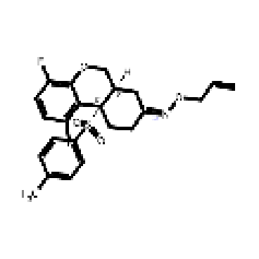 C=CCO/N=C1/CC[C@@]2(S(=O)(=O)c3ccc(C(F)(F)F)cc3)c3c(F)ccc(F)c3OC[C@H]2C1